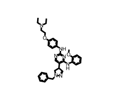 CCN(CC)CCOc1ccc(Nc2ncc(C3C=NN(Cc4ccccc4)C3)c(Nc3ccccc3OC)n2)cc1